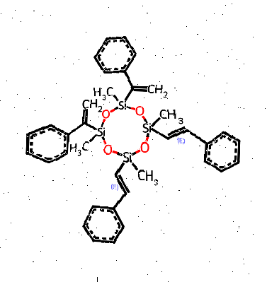 C=C(c1ccccc1)[Si]1(C)O[Si](C)(/C=C/c2ccccc2)O[Si](C)(/C=C/c2ccccc2)O[Si](C)(C(=C)c2ccccc2)O1